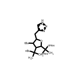 CCCCCCC(C)(CCCCCC)C1OC(Cc2c[nH]nn2)C(C(C)(C)C)C1C(C)(C)CCCC